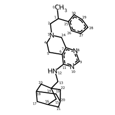 CC(CN1CCc2c(ncnc2NCC23CC4CC(CC(C4)C2)C3)C1)c1ccccc1